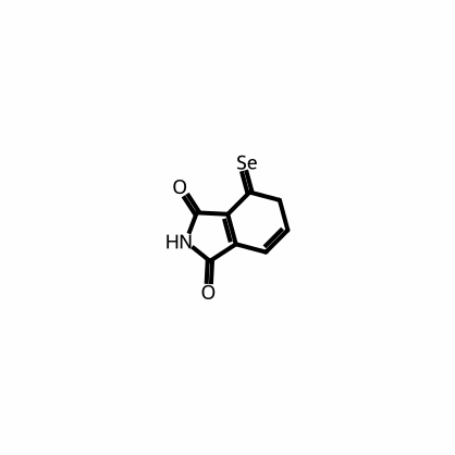 O=C1NC(=O)C2=C1C=CCC2=[Se]